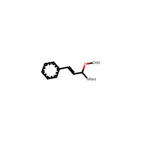 CCCCCC(C=Cc1ccccc1)OC=O